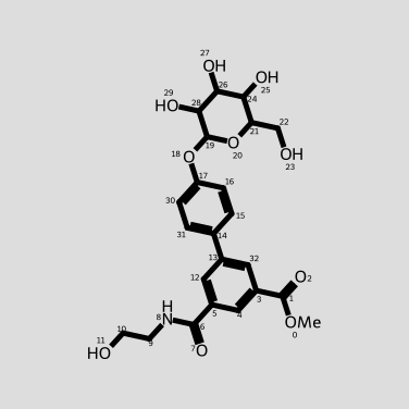 COC(=O)c1cc(C(=O)NCCO)cc(-c2ccc(OC3OC(CO)C(O)C(O)C3O)cc2)c1